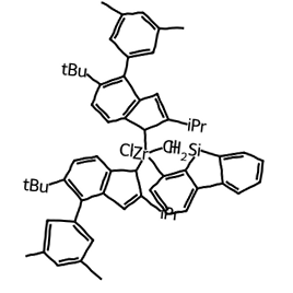 Cc1cc(C)cc(-c2c(C(C)(C)C)ccc3c2C=C(C(C)C)[CH]3[Zr]([Cl])([Cl])([c]2cccc3c2[SiH2]c2ccccc2-3)[CH]2C(C(C)C)=Cc3c2ccc(C(C)(C)C)c3-c2cc(C)cc(C)c2)c1